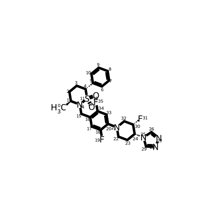 C[C@H]1CC[C@H](c2ccccc2)S(=O)(=O)N1Cc1cc(F)c(N2CC[C@@H](n3cnnc3)[C@@H](F)C2)cc1F